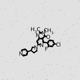 Cc1nc2cc(N3CCC(c4ccncc4)C3)nc(-c3ccc(Cl)cc3F)c2c(=O)n1C